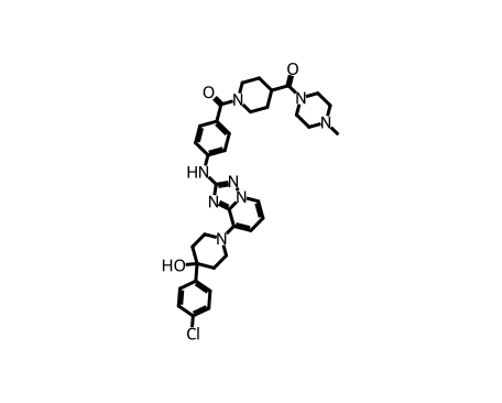 CN1CCN(C(=O)C2CCN(C(=O)c3ccc(Nc4nc5c(N6CCC(O)(c7ccc(Cl)cc7)CC6)cccn5n4)cc3)CC2)CC1